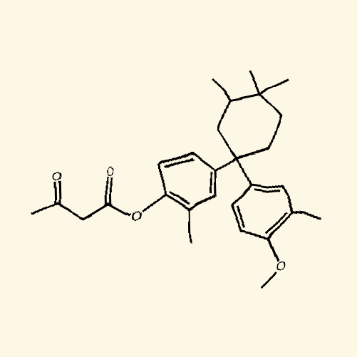 COc1ccc(C2(c3ccc(OC(=O)CC(C)=O)c(C)c3)CCC(C)(C)C(C)C2)cc1C